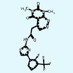 Cn1c(=O)c2c(CC(=O)Nc3nc(-c4cccc(C(F)(F)F)c4F)cs3)cnnc2n(C)c1=O